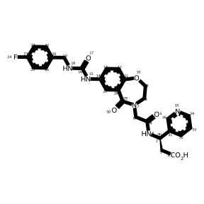 O=C(O)C[C@@H](NC(=O)CN1CCOc2ccc(NC(=O)NCc3ccc(F)cc3)cc2C1=O)c1cccnc1